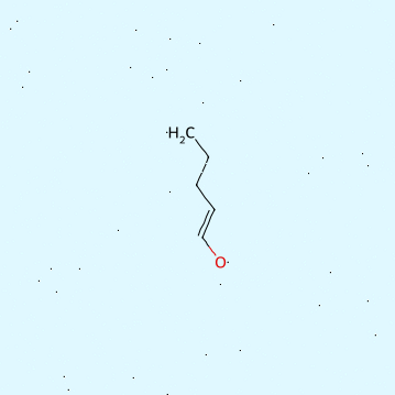 [CH2]CCC=C[O]